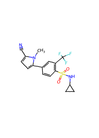 Cn1c(C#N)ccc1-c1ccc(S(=O)(=O)NC2CC2)c(C(F)(F)F)c1